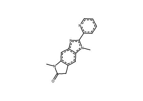 CN1C(=O)Cc2cc3c(cc21)nc(-c1ccccn1)n3C